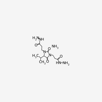 CC(C)C1C(=O)N(CCC(=O)NN)C(=O)N1CCC(=O)NN.N